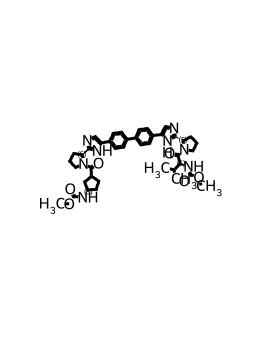 COC(=O)N[C@H]1CCC(C(=O)N2CCC[C@H]2c2ncc(-c3ccc(-c4ccc(-c5cnc([C@@H]6CCCN6C(=O)[C@@H](NC(=O)OC)C(C)C)[nH]5)cc4)cc3)[nH]2)C1